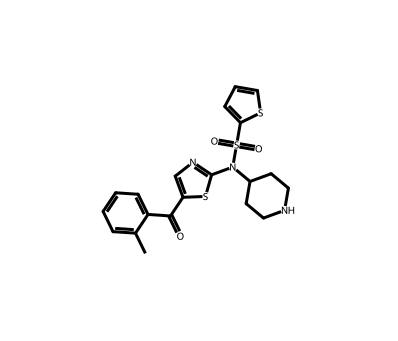 Cc1ccccc1C(=O)c1cnc(N(C2CCNCC2)S(=O)(=O)c2cccs2)s1